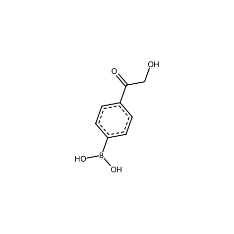 O=C(CO)c1ccc(B(O)O)cc1